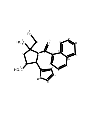 CC(C)CC1(C(=O)O)CC(C(=O)O)C(c2cccs2)N1C(=O)c1cccc2ccccc12